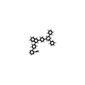 N#Cc1ccccc1-c1ccc(-c2cc(-c3ccc(-c4nc(-c5ccccc5)nc(-c5ccccc5)n4)cc3)cc3ccccc23)cc1